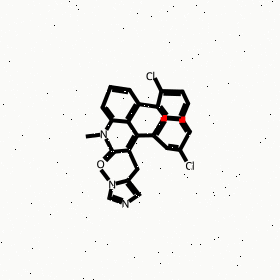 Cn1cncc1Cc1c(-c2cccc(Cl)c2)c2c(-c3ccccc3Cl)cccc2n(C)c1=O